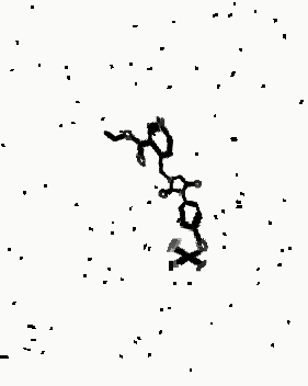 CCOC(=O)c1cnccc1CN1CC(=O)N(c2ccc(OC(F)(F)F)cc2)C1=O